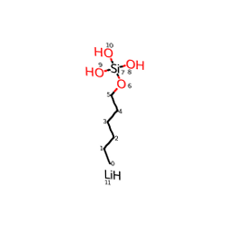 CCCCCCO[Si](O)(O)O.[LiH]